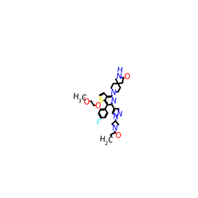 C=CC(=O)N1CC(n2cc(-c3nc(N4CCC5(CC4)CNC(=O)C5)c4ccsc4c3-c3ccc(F)cc3OCCOC)cn2)C1